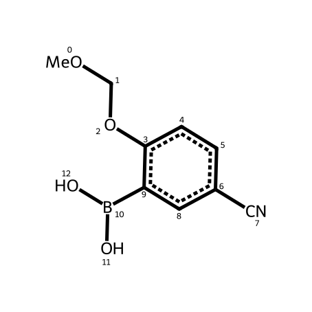 COCOc1ccc(C#N)cc1B(O)O